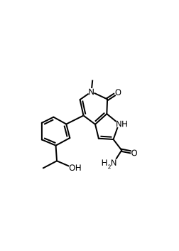 CC(O)c1cccc(-c2cn(C)c(=O)c3[nH]c(C(N)=O)cc23)c1